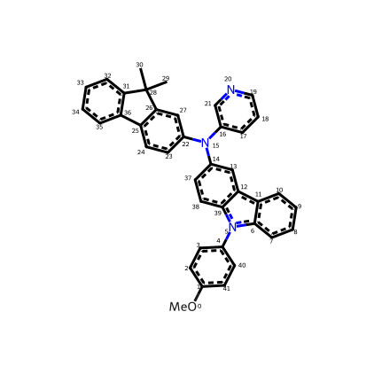 COc1ccc(-n2c3ccccc3c3cc(N(c4cccnc4)c4ccc5c(c4)C(C)(C)c4ccccc4-5)ccc32)cc1